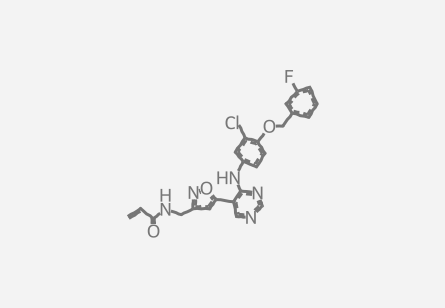 C=CC(=O)NCc1cc(-c2cncnc2Nc2ccc(OCc3cccc(F)c3)c(Cl)c2)on1